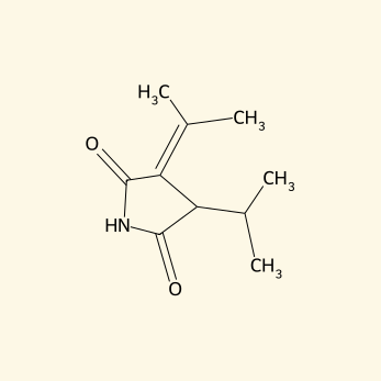 CC(C)=C1C(=O)NC(=O)C1C(C)C